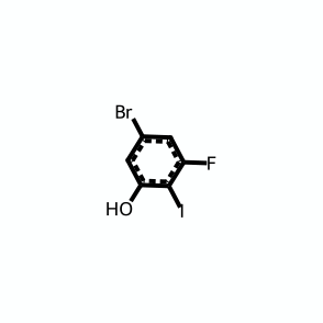 Oc1cc(Br)cc(F)c1I